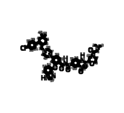 CN(C)CC(=O)N1CCO[C@@H](CNc2ccc([S+]([O-])NC(=O)c3ccc(N4CCN(CC5=C(c6ccc(Cl)cc6)CC(C)(C)CC5)CC4)cc3Oc3cccc4[nH]cnc34)cc2[N+](=O)[O-])C1